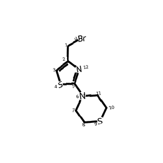 BrCc1csc(N2CCSCC2)n1